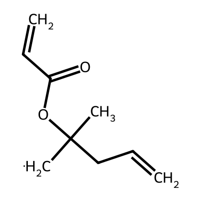 [CH2]C(C)(CC=C)OC(=O)C=C